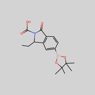 CCC1c2cc(B3OC(C)(C)C(C)(C)O3)ccc2C(=O)N1C(=O)O